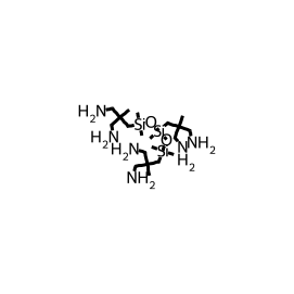 CC(CN)(CN)C[Si](C)(C)O[Si](C)(CC(C)(CN)CN)O[Si](C)(C)CC(C)(CN)CN